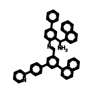 NC(c1cc(-c2ccccc2)ccc1/N=C/c1cc(-c2ccc(-c3ccccn3)cc2)cc(-c2cccc3ccccc23)c1)c1cccc2ccccc12